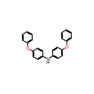 c1ccc(Oc2ccc([SiH]c3ccc(Oc4ccccc4)cc3)cc2)cc1